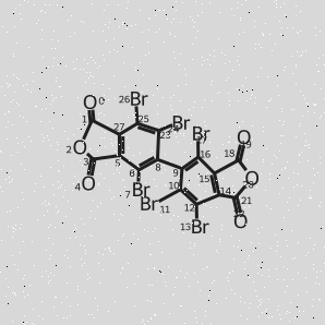 O=C1OC(=O)c2c(Br)c(-c3c(Br)c(Br)c4c(c3Br)C(=O)OC4=O)c(Br)c(Br)c21